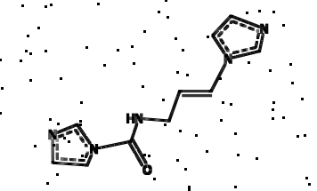 O=C(NCC=Cn1ccnc1)n1ccnc1